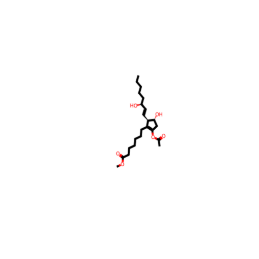 CCCCC[C@H](O)/C=C/[C@@H]1C(CCCCCCC(=O)OC)=C(OC(C)=O)C[C@H]1O